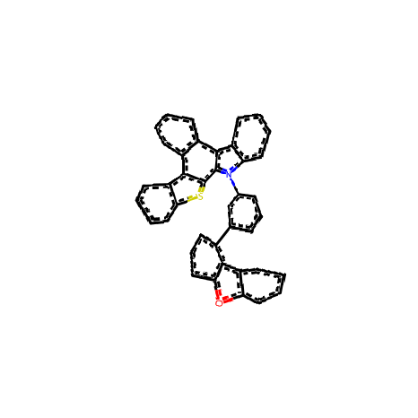 c1cc(-c2cccc3oc4ccccc4c23)cc(-n2c3ccccc3c3c4ccccc4c4c5ccccc5sc4c32)c1